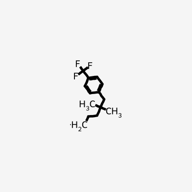 [CH2]CCC(C)(C)Cc1ccc(C(F)(F)F)cc1